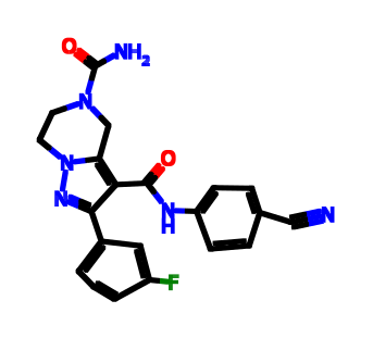 N#Cc1ccc(NC(=O)c2c(-c3cccc(F)c3)nn3c2CN(C(N)=O)CC3)cc1